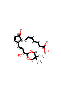 CC1(C)COC([C@H](O)/C=C/[C@H]2C=CC(=O)[C@@H]2C/C=C\CCCC(=O)O)OC1